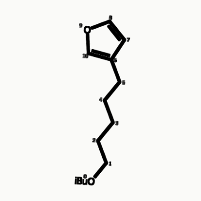 C[C](C)COCCCCCc1ccoc1